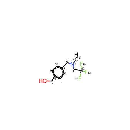 CN(Cc1ccc(CO)cc1)CC(F)(F)F